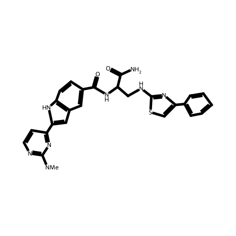 CNc1nccc(-c2cc3cc(C(=O)NC(CNc4nc(-c5ccccc5)cs4)C(N)=O)ccc3[nH]2)n1